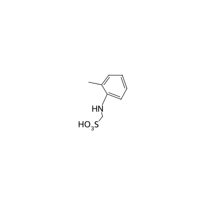 Cc1ccccc1NCS(=O)(=O)O